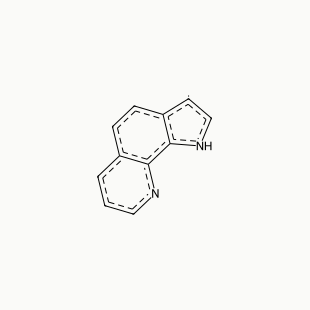 [c]1c[nH]c2c1ccc1cccnc12